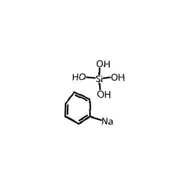 O[Si](O)(O)O.[Na][c]1ccccc1